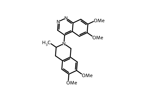 COc1cc2c(cc1OC)CN(c1cnnc3cc(OC)c(OC)cc13)C(C)C2